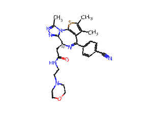 Cc1sc2c(c1C)C(c1ccc(C#N)cc1)=N[C@@H](CC(=O)NCCN1CCOCC1)c1nnc(C)n1-2